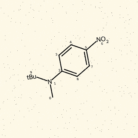 CN(c1ccc([N+](=O)[O-])cc1)C(C)(C)C